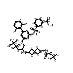 Cc1cccc(C)c1-c1cc(OCC(CC(C)(C)C(F)(F)F)NC2CC3(CC(NC(=O)OC(C)(C)C)C3)C2)nc(NS(=O)(=O)c2cccc(C(=O)O)c2)n1